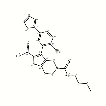 CCCCNC(=O)N1CCc2sc(C(N)=O)c(-c3cc(-c4cccs4)ccc3N)c2C1